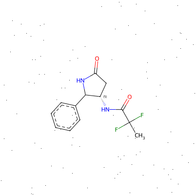 CC(F)(F)C(=O)N[C@H]1CC(=O)NC1c1ccccc1